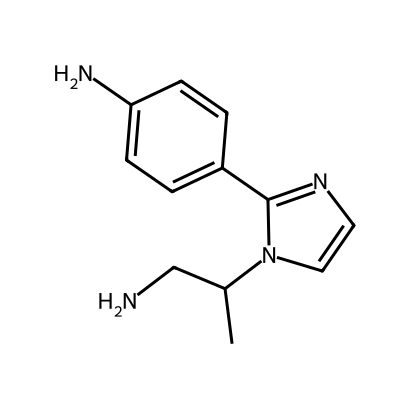 CC(CN)n1ccnc1-c1ccc(N)cc1